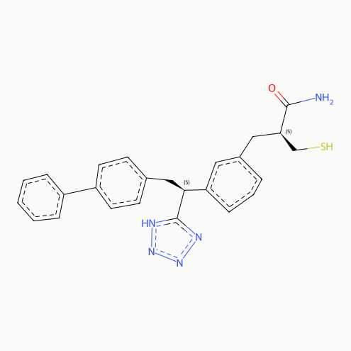 NC(=O)[C@@H](CS)Cc1cccc([C@H](Cc2ccc(-c3ccccc3)cc2)c2nnn[nH]2)c1